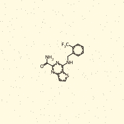 NC(=O)c1nc(NCc2ccccc2C(F)(F)F)c2sccc2n1